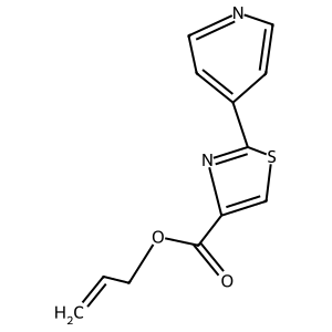 C=CCOC(=O)c1csc(-c2ccncc2)n1